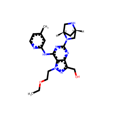 CCOCCn1nc(CO)c2nc(N3C[C@@H]4C[C@H]3CN4)nc(Nc3cc(C)ccn3)c21